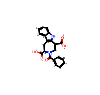 O=C(O)C1=CN(C(=O)c2ccccc2)C(C(=O)O)Cc2c1[nH]c1ccccc21